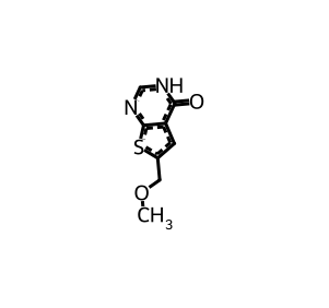 COCc1cc2c(=O)[nH]cnc2s1